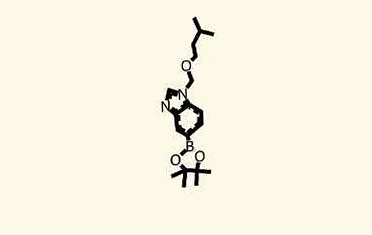 CC(C)CCOCn1cnc2cc(B3OC(C)(C)C(C)(C)O3)ccc21